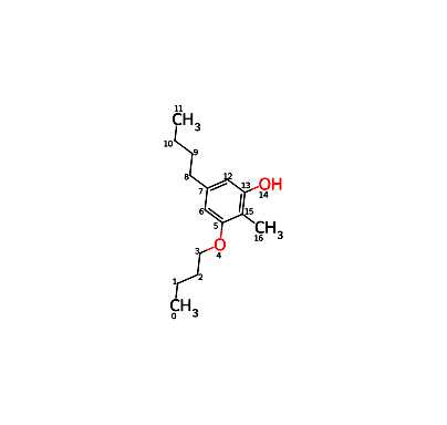 CCCCOc1cc(CCCC)cc(O)c1C